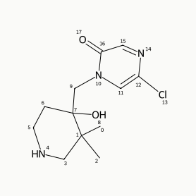 CC1(C)CNCCC1(O)Cn1cc(Cl)ncc1=O